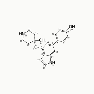 CC1(Oc2cc(-c3ccc(O)cc3)cc3[nH]ncc23)CCNCC1